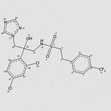 O=S(=O)(CCc1ccc(C(F)(F)F)cc1)NCC(O)(Cn1cncn1)c1ccc(Cl)cc1Cl